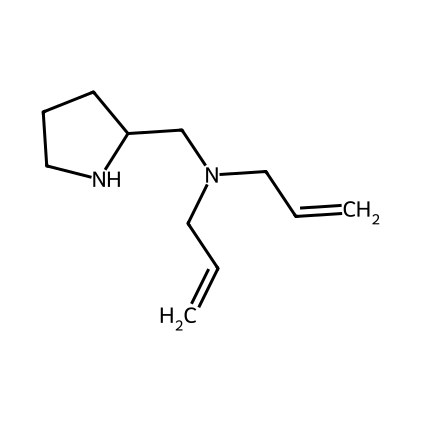 C=CCN(CC=C)CC1CCCN1